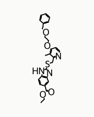 CCOC(=O)c1ccc2[nH]c(SCc3nccc(OCCOCc4ccccc4)c3C)nc2c1